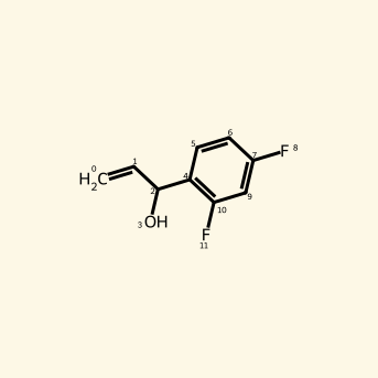 C=CC(O)c1ccc(F)cc1F